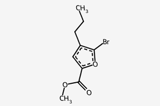 CCCc1cc(C(=O)OC)oc1Br